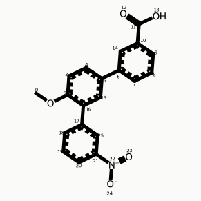 COc1ccc(-c2cccc(C(=O)O)c2)cc1-c1cccc([N+](=O)[O-])c1